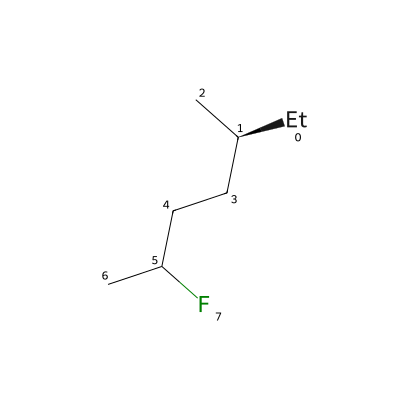 CC[C@H](C)CCC(C)F